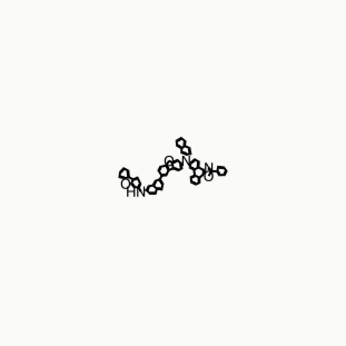 c1ccc(-c2nc3c4ccc(N(c5ccc6ccccc6c5)c5ccc6c(c5)oc5ccc(-c7ccc8ccc(Nc9ccc%10c(c9)oc9ccccc9%10)cc8c7)cc56)cc4c4ccccc4c3o2)cc1